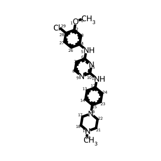 COc1cc(Nc2ccnc(Nc3ccc(N4CCN(C)CC4)cc3)n2)ccc1Cl